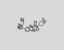 Cn1ncc(-c2ccc3cnc(NC(=O)C4CCC(F)(F)CC4)nc3c2)c1CN1CCC1